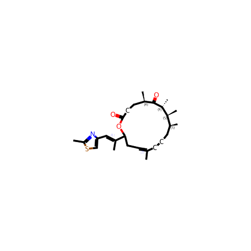 C/C1=C/CC(/C(C)=C/c2csc(C)n2)OC(=O)CC[C@@H](C)C(=O)[C@H](C)[C@@H](C)[C@@H](C)CCC1